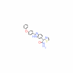 NC(=O)C(c1ccc2nc(-c3ccc(Oc4ccccc4)cc3)[nH]c2c1)c1nccs1